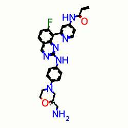 C=CC(=O)Nc1ccnc(-c2c(F)ccc3cnc(Nc4ccc(N5CCO[C@H](CN)C5)cc4)nc23)c1